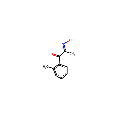 C/C(=N\O)C(=O)c1ccccc1C